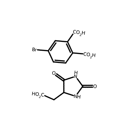 O=C(O)CC1NC(=O)NC1=O.O=C(O)c1ccc(Br)cc1C(=O)O